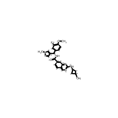 COc1ccc([C@H](NC(=O)c2ccc3cnc(NC4CC(O)C4)nc3c2)c2cnn(C)c2)cc1F